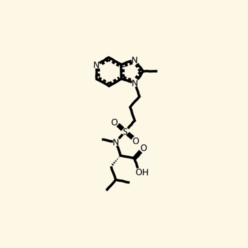 Cc1nc2cnccc2n1CCCS(=O)(=O)N(C)[C@@H](CC(C)C)C(=O)O